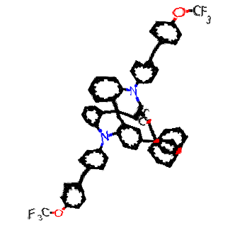 FC(F)(F)Oc1ccc(-c2ccc(N3c4ccccc4C4(c5ccccc5N(c5ccc(-c6ccc(OC(F)(F)F)cc6)cc5)c5ccc(-c6ccccc6)cc54)c4cc(-c5ccccc5)ccc43)cc2)cc1